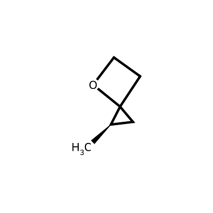 C[C@@H]1CC12CCO2